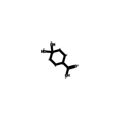 O=C(O)C1CCC(O)(O)CC1